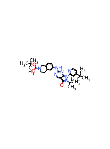 CC(C)n1c(=O)c2cnc(Nc3ccc4c(c3)CCN(C(=O)OC(C)(C)C)C4)nc2n1-c1cc(C(C)(C)C)ccn1